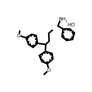 CCCC(c1ccc(OC)cc1)c1ccc(OC)cc1.Cl.NCc1ccccc1